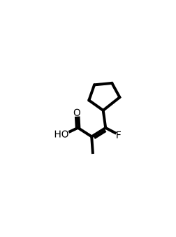 CC(C(=O)O)=C(F)C1CCCC1